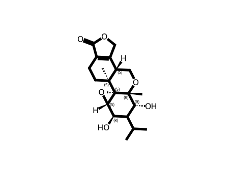 CC(C)C1[C@@H](O)[C@@H]2O[C@@]23[C@@]2(C)CCC4=C(COC4=O)[C@@H]2CO[C@]3(C)[C@@H]1O